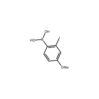 COc1ccc(B(O)O)c(I)c1